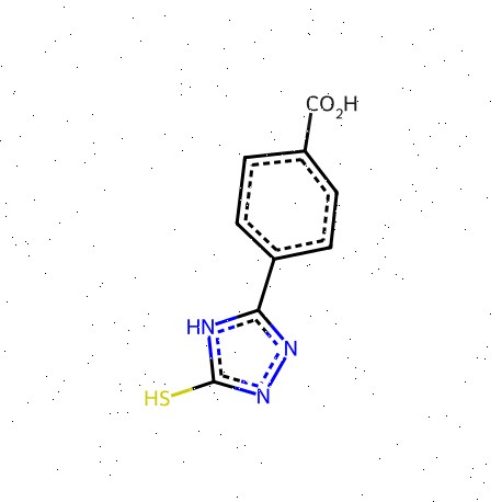 O=C(O)c1ccc(-c2nnc(S)[nH]2)cc1